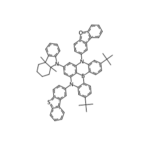 CC(C)(C)c1ccc2c(c1)N(c1ccc3oc4ccccc4c3c1)c1cc(N3c4ccccc4C4(C)CCCCC34C)cc3c1B2c1ccc(C(C)(C)C)cc1N3c1ccc2sc3ccccc3c2c1